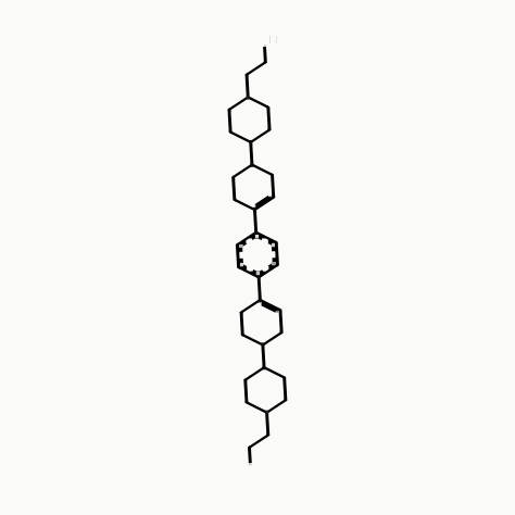 CCCC1CCC(C2CC=C(c3ccc(C4=CCC(C5CCC(CCC)CC5)CC4)cc3)CC2)CC1